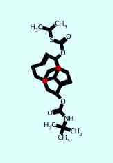 CC(C)SC(=O)OC1/C=C/CCCC(/C2=C\CCCCCC2OC(=O)NC(C)(C)C)C1